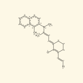 CC/C=C/C1=C(Cl)C(=C/C=C(\C)N(C)c2ccc3ccccc3c2C)/CCC1